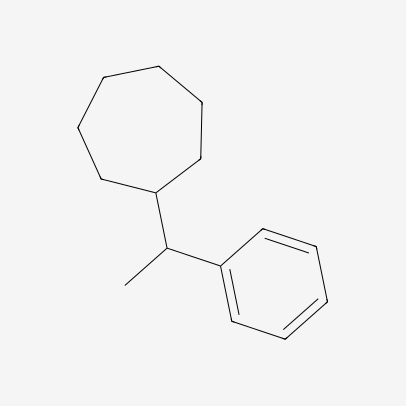 CC(c1ccccc1)C1CCCCCC1